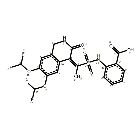 C/C(=C1/C(=O)NCc2cc(OC(F)F)c(OC(F)F)cc21)S(=O)(=O)Nc1ccccc1C(=O)O